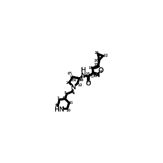 C[C@H]1CN(CCC2CCNCC2)C[C@@H]1NC(=O)c1cc(C2CC2)on1